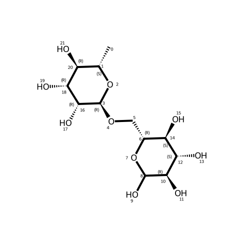 C[C@@H]1O[C@@H](OC[C@H]2OC(O)[C@H](O)[C@@H](O)[C@@H]2O)[C@H](O)[C@H](O)[C@H]1O